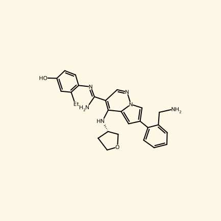 CCc1cc(O)ccc1/N=C(\N)c1cnn2cc(-c3ccccc3CN)cc2c1N[C@H]1CCOC1